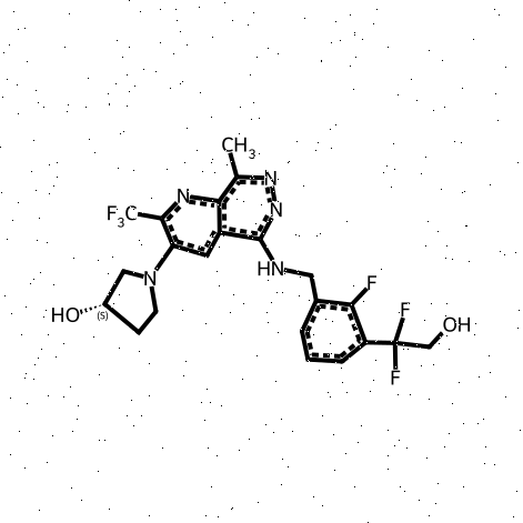 Cc1nnc(NCc2cccc(C(F)(F)CO)c2F)c2cc(N3CC[C@H](O)C3)c(C(F)(F)F)nc12